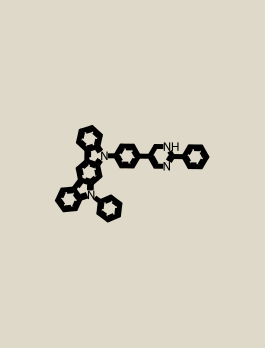 C1=C(c2ccc(-n3c4ccccc4c4cc5c6ccccc6n(-c6ccccc6)c5cc43)cc2)CNC(c2ccccc2)=N1